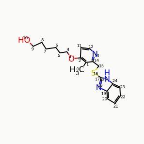 Cc1c(OCCCCCCO)ccnc1CSc1nc2ccccc2[nH]1